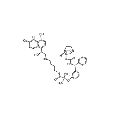 CC(C)(Oc1cccc(C(NC(=O)O[C@H]2CN3CCC2CC3)c2ccccc2)c1)C(=O)OCCCCNC[C@@H](O)c1ccc(O)c2[nH]c(=O)ccc12